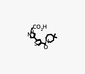 CC1(C)CCCN(C(=O)c2csc(-c3cnn(CC(=O)O)c3)c2)CC1